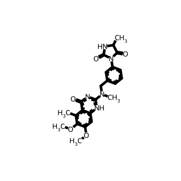 COc1cc2[nH]c(N(C)Cc3cccc(N4C(=O)NC(C)C4=O)c3)nc(=O)c2c(C)c1OC